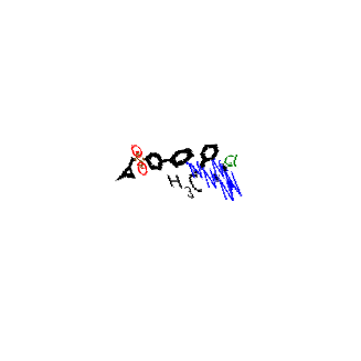 CN(c1cccc(-c2ccc(S(=O)(=O)CC3CC3)cc2)c1)c1nc2nnc(Cl)n2c2ccccc12